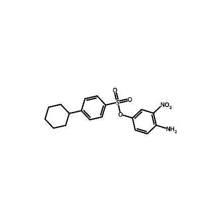 Nc1ccc(OS(=O)(=O)c2ccc(C3CCCCC3)cc2)cc1[N+](=O)[O-]